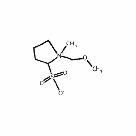 COC[N+]1(C)CCCC1S(=O)(=O)[O-]